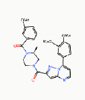 COc1cccc(C(=O)N2CCN(C(=O)c3cc4nccc(-c5ccc(OC)c(OC)c5)n4n3)C[C@@H]2C)c1